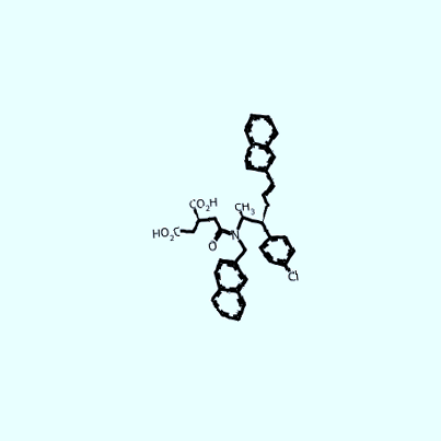 C[C@@H]([C@@H](C/C=C/c1ccc2ccccc2c1)c1ccc(Cl)cc1)N(Cc1ccc2ccccc2c1)C(=O)C[C@@H](CC(=O)O)C(=O)O